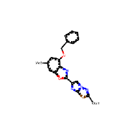 COc1cc(OCc2ccccc2)c2nc(-c3cn4nc(OC)sc4n3)oc2c1